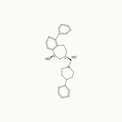 Cl.O[C@@H]1C[C@H](CN2CCC(c3ccccc3)CC2)CCc2c(-c3ccccc3)cccc21